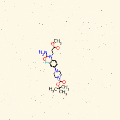 COC(=O)CCN(C(N)=O)c1ccc(N2CCN(C(=O)OC(C)(C)C)CC2)cc1F